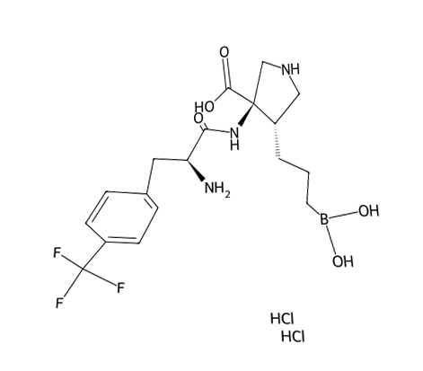 Cl.Cl.N[C@@H](Cc1ccc(C(F)(F)F)cc1)C(=O)N[C@@]1(C(=O)O)CNC[C@@H]1CCCB(O)O